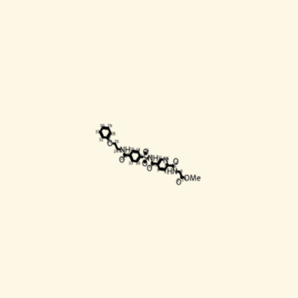 COC(=O)CNC(=O)c1ccc(C(=O)NS(=O)(=O)c2ccc(C(=O)NCCOc3ccccc3)cc2)cn1